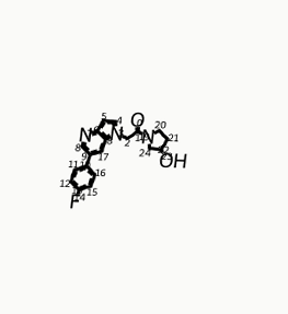 O=C(Cn1ccc2ncc(-c3ccc(F)cc3)cc21)N1CCC(O)C1